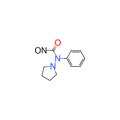 O=NC(=O)N(c1ccccc1)N1CCCC1